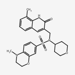 Cc1cccc2cc(CN(C3CCOCC3)S(=O)(=O)c3ccc4c(c3)OCCN4C)c(=O)[nH]c12